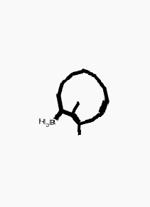 BC1CCCCCC/C=C\C/C(C)=C/1C